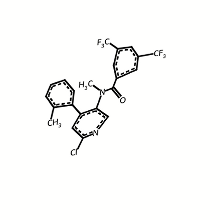 Cc1ccccc1-c1cc(Cl)ncc1N(C)C(=O)c1cc(C(F)(F)F)cc(C(F)(F)F)c1